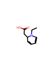 CCN1C=CC=CC1CC(=O)O